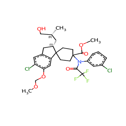 COCOc1cc2c(cc1Cl)C[C@H](C[C@@H](C)CO)C21CCC(C(=O)OC)(N(C(=O)C(F)(F)F)c2cccc(Cl)c2)CC1